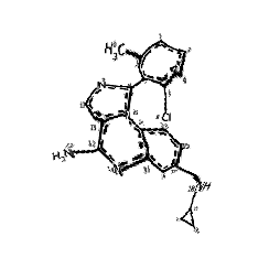 Cc1cccc(Cl)c1-c1ncc2c(N)nc3cc(NC4CC4)ccc3n12